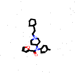 Cc1ccc(N(C(=O)c2ccco2)C2CCN(CC[C]3CCCCC3)CC2)cc1